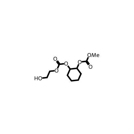 COC(=O)OC1CCCCC1OC(=O)OCCO